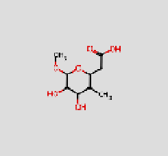 COC1OC(CC(=O)O)C(C)C(O)C1O